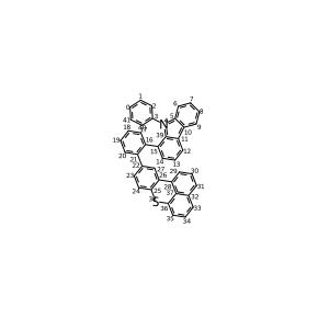 c1ccc(-n2c3ccccc3c3cccc(-c4ccccc4-c4ccc5c(c4)-c4cccc6cccc(c46)S5)c32)cc1